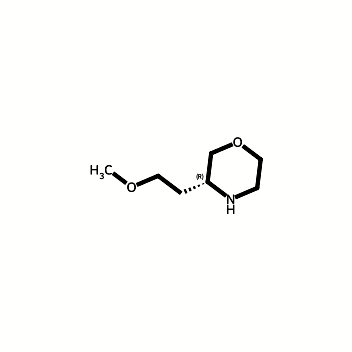 COCC[C@@H]1COCCN1